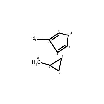 CC(C)c1ccsc1.CC1CC1